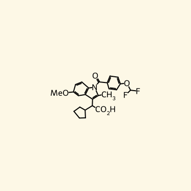 COc1ccc2c(c1)c(C(C(=O)O)C1CCCC1)c(C)n2C(=O)c1ccc(OC(F)F)cc1